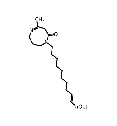 CCCCCCCCC=CCCCCCCCCN1CCC/N=C(/C)CC1=O